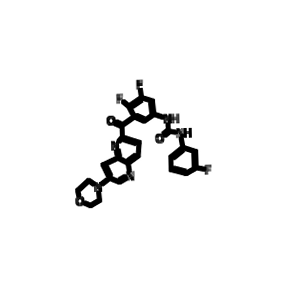 O=C(Nc1cccc(F)c1)Nc1cc(F)c(F)c(C(=O)c2ccc3ncc(N4CCOCC4)cc3n2)c1